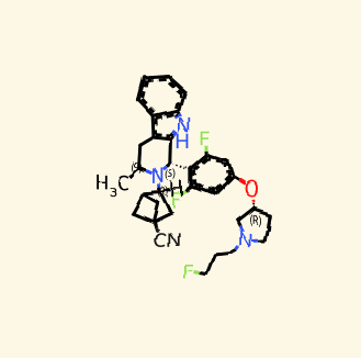 C[C@H]1Cc2c([nH]c3ccccc23)[C@H](c2c(F)cc(O[C@@H]3CCN(CCCF)C3)cc2F)N1[C@@H]1CC2(C#N)CC1C2